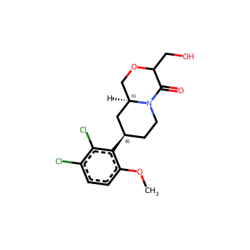 COc1ccc(Cl)c(Cl)c1[C@@H]1CCN2C(=O)C(CO)OC[C@@H]2C1